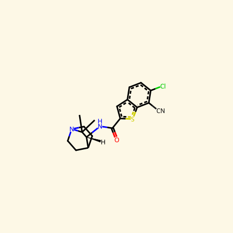 CC1(C)[C@H](NC(=O)c2cc3ccc(Cl)c(C#N)c3s2)C2CCN1CC2